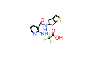 Nc1ncccc1C(=O)NC1Cc2ccsc2C1.O=C(O)C(F)(F)F